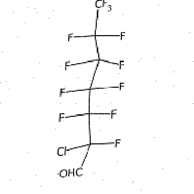 O=[C]C(F)(Cl)C(F)(F)C(F)(F)C(F)(F)C(F)(F)C(F)(F)F